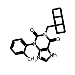 Cc1ccccc1-n1c(=O)n(CC23C4C5C6C4C2C6C53)c(=O)c2[nH]cnc21